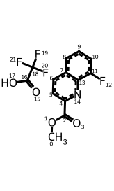 COC(=O)c1ccc2cccc(F)c2n1.O=C(O)C(F)(F)F